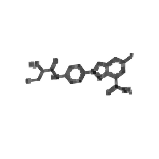 CC(CCl)C(=O)Nc1ccc(-n2cc3cc(F)cc(C(N)=O)c3n2)cc1